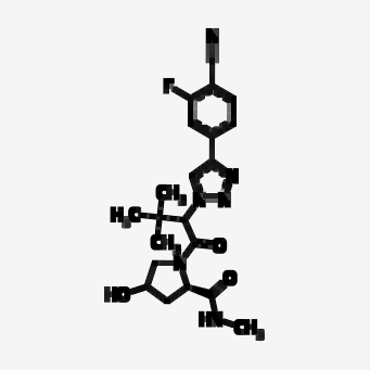 CNC(=O)[C@H]1CC(O)CN1C(=O)C(n1cc(-c2ccc(C#N)c(F)c2)nn1)C(C)(C)C